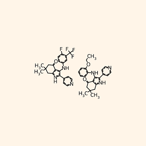 CC1(C)CC(=O)c2c([nH]c(-c3ccncc3)c2Nc2ccc(F)c(C(F)(F)F)c2)C1.CCOc1ccccc1Nc1c(-c2ccncc2)[nH]c2c1C(=O)CC(C)(C)C2